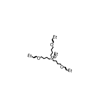 CCC=COCCCC[Si](CCCCOC=CCC)(CCCCOC=CCC)OCC